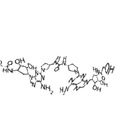 Nc1nc(N2CC[C@@H](NC(=O)N[C@@H]3CCN(c4nc(N)c5ncn(C6CC(NC(=O)CO)C(O)C6O)c5n4)C3)C2)nc2c1ncn2C1CC(NC(=O)CO)C(O)C1O